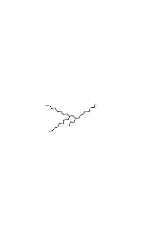 CCCCCCCCC(CCC)CC(CCCCCCCC)CCCCCCCC